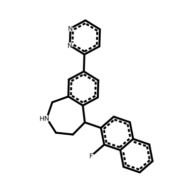 Fc1c(C2CCNCc3cc(-c4cccnn4)ccc32)ccc2ccccc12